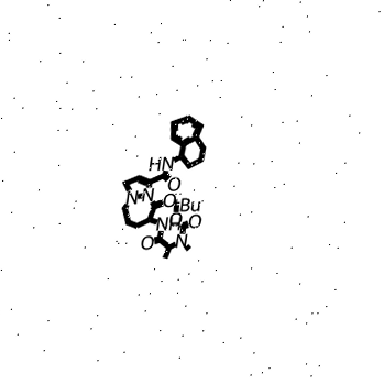 CC(C(=O)NC1CCCN2CC=C(C(=O)NC3CCCc4ccccc43)N2C1=O)N(C)C(=O)OC(C)(C)C